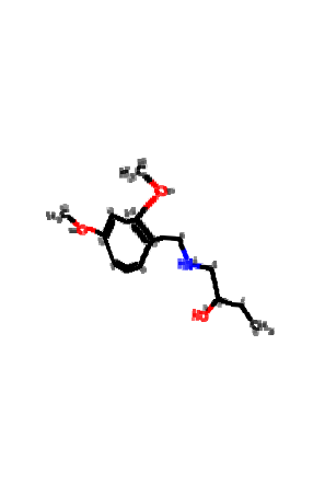 CCC(O)CNCc1ccc(OC)cc1OC